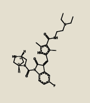 CCN(CC)CCNC(=O)c1c(C)[nH]c(C=C2C(=O)N(C(=O)N3C[C@@H]4C[C@H]3CN4)c3ccc(F)cc32)c1C